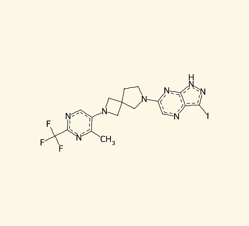 Cc1nc(C(F)(F)F)ncc1N1CC2(CCN(c3cnc4c(I)n[nH]c4n3)C2)C1